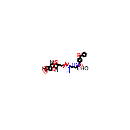 C[C@]12CCC3=C(COC3=O)C1C[C@@H]1O[C@@]13C(=O)C(CCCOC(=O)NCCCC[C@@H](C=O)NC(=O)c1ccc(C(=O)c4ccccc4)cc1)C[C@@H]1O[C@]123